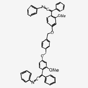 COc1cc(OCc2ccc(COc3ccc(C(=C=Nc4ccccc4)c4ccccc4)c(OC)c3)cc2)ccc1C(=C=Nc1ccccc1)c1ccccc1